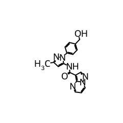 Cc1cc(NC(=O)c2cnn3cccnc23)n(-c2ccc(CO)cc2)n1